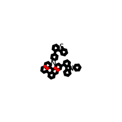 c1ccc(-c2cccc3cccc(-c4ccccc4N(c4ccc(-c5cccc6sc7ccccc7c56)cc4)c4cccc(-c5cccc6c5c5ccccc5n6-c5ccccc5)c4)c23)cc1